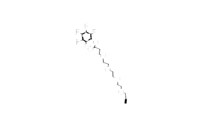 C#CCOCCOCCOCCOCCC(=O)Oc1c(F)c(F)c(F)c(F)c1F